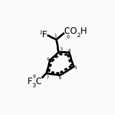 O=C(O)C(F)c1cccc(C(F)(F)F)c1